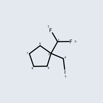 FC(F)C1(CI)CCCC1